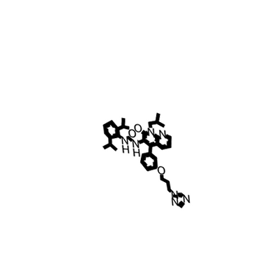 CC(C)Cn1c(=O)c(NC(=O)Nc2c(C(C)C)cccc2C(C)C)c(-c2cccc(OCCCn3cncn3)c2)c2cccnc21